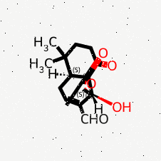 CC1(C)CCC(=O)[C@]23C(=O)O[C@H](O)[C@H]2C(C=O)=CC[C@@H]13